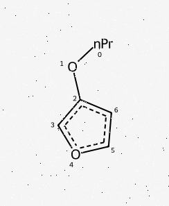 CCCOc1[c]occ1